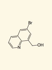 OCc1cc(Br)cc2cccnc12